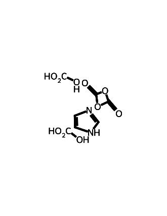 O=C(O)O.O=C(O)O.O=C1OC(=O)O1.c1c[nH]cn1